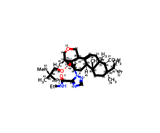 CCNC(=O)c1ncnn1[C@@H]1C[C@@]23COC[C@](C)([C@@H]2CC[C@H]2C3=CC[C@@]3(C)[C@H](C(=O)O)[C@@](C)([C@H](C)C(C)C)CC[C@]23C)[C@H]1OC[C@](C)(NC)C(C)C